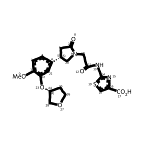 COc1ccc([C@@H]2CC(=O)N(CC(=O)Nc3nc(C(=O)O)cs3)C2)cc1O[C@@H]1CCOC1